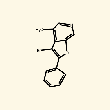 Cc1cncc2oc(-c3ccccc3)c(Br)c12